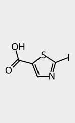 O=C(O)c1cnc(I)s1